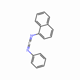 C(=Nc1ccccc1)=Nc1cccc2ccccc12